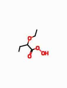 CCOC(CC)C(=O)OO